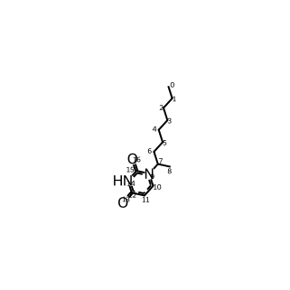 CCCCCCCC(C)n1ccc(=O)[nH]c1=O